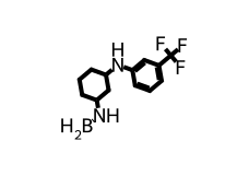 BNC1CCCC(Nc2cccc(C(F)(F)F)c2)C1